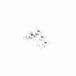 NC(=O)[O-].NC(=O)[O-].NC(=O)[O-].NC(=O)[O-].[Mo+4]